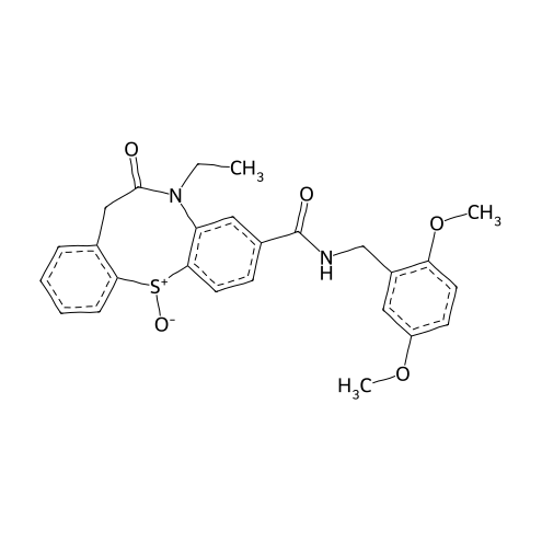 CCN1C(=O)Cc2ccccc2[S+]([O-])c2ccc(C(=O)NCc3cc(OC)ccc3OC)cc21